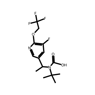 CC(c1cnc(OCC(F)(F)F)c(F)c1)N(C(=O)O)C(C)(C)C